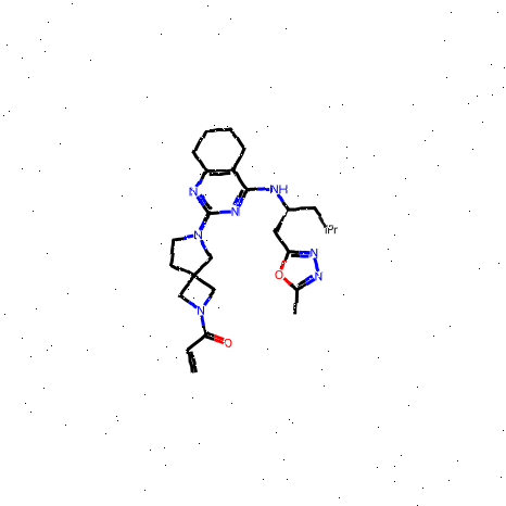 C=CC(=O)N1CC2(CCN(c3nc4c(c(N[C@H](Cc5nnc(C)o5)CC(C)C)n3)CCCC4)C2)C1